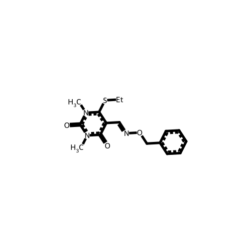 CCSc1c(C=NOCc2ccccc2)c(=O)n(C)c(=O)n1C